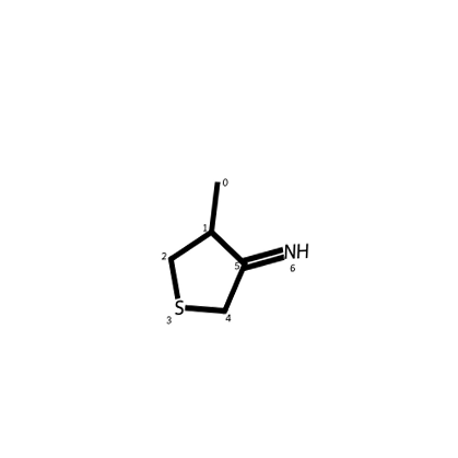 CC1CSCC1=N